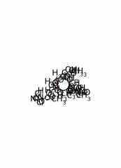 COc1ccc(C(=O)Nc2c(Cl)cncc2Cl)cc1OCCCN1C(=O)O[C@]2(C)[C@@H](I)OC(=O)[C@H](C)[C@@H](O[C@H]3C[C@@](C)(OC)[C@@H](O)[C@H](C)O3)[C@H](C)[C@@H](O[C@@H]3O[C@H](C)C[C@H](N(C)C(=O)N4CCOCC4)[C@H]3O)[C@](C)(OC)C[C@@H](C)C(=O)[C@H](C)[C@@H]12